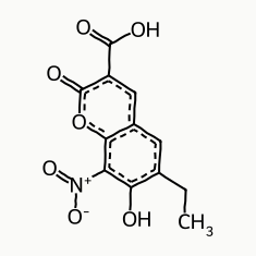 CCc1cc2cc(C(=O)O)c(=O)oc2c([N+](=O)[O-])c1O